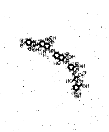 Nc1c(N=Nc2ccc3c(O)c(N=Nc4ccc(N=Nc5c(OC=O)nn(-c6ccc(S(=O)(=O)O)cc6C(=O)O)c5O)c(S(=O)(=O)O)c4)c(S(=O)(=O)O)cc3c2)cc(S(=O)(=O)O)c2ccc(N=Nc3ccc([N+](=O)[O-])cc3S(=O)(=O)O)c(O)c12